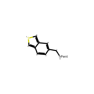 CCCCCCc1ccc2[c]s[c]c2c1